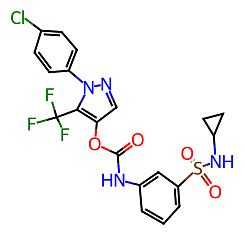 O=C(Nc1cccc(S(=O)(=O)NC2CC2)c1)Oc1cnn(-c2ccc(Cl)cc2)c1C(F)(F)F